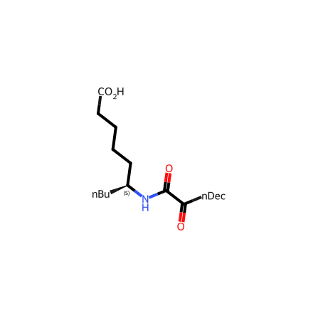 CCCCCCCCCCC(=O)C(=O)N[C@@H](CCCC)CCCCC(=O)O